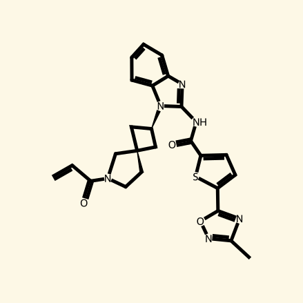 C=CC(=O)N1CC[C@]2(C1)C[C@H](n1c(NC(=O)c3ccc(-c4nc(C)no4)s3)nc3ccccc31)C2